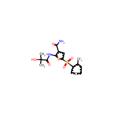 CC(C)(O)C(=O)Nc1sc(S(=O)(=O)c2ccccc2C(F)(F)F)cc1C(N)=O